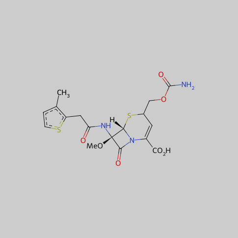 CO[C@]1(NC(=O)Cc2sccc2C)C(=O)N2C(C(=O)O)=CC(COC(N)=O)S[C@H]21